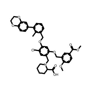 COC(=O)c1ccc(OC)c(COc2cc(OCc3cccc(-c4ccc5c(c4)OCCO5)c3C)c(Cl)cc2CN2CCCCC2C(=O)O)c1